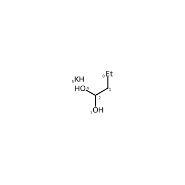 CCCC(O)O.[KH]